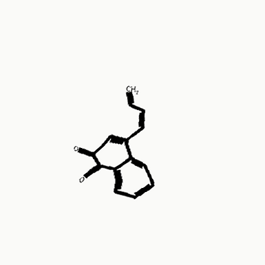 C=C/C=C\C1=CC(=O)C(=O)c2ccccc21